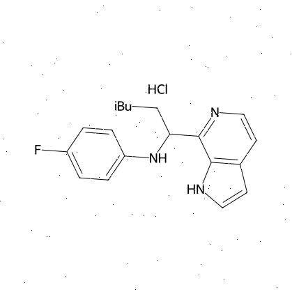 CCC(C)CC(Nc1ccc(F)cc1)c1nccc2cc[nH]c12.Cl